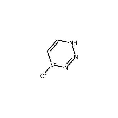 [O-][S+]1C=CNN=N1